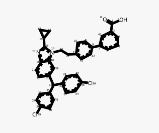 O=C(O)c1cccc(-c2ccc(CCn3c(C4CC4)nc4ccc(C(c5ccc(Cl)cc5)c5ccc(Cl)cc5)cc43)cc2)c1